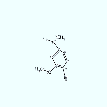 COc1cc([C@@H](C)I)ccc1Br